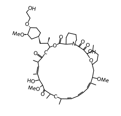 COC1CC2CCC(C)C(O)(O2)C(=O)C(=O)N2CCCCC2C(=O)OC([C@H](C)C[C@@H]2CC[C@@H](OCCO)[C@H](OC)C2)CC(=O)C(C)C=C(C)C(O)C(OC)C(=O)C(C)CC(C)C=CC=CC=C1C